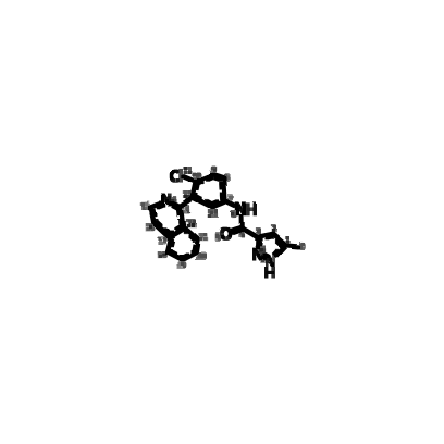 Cc1cc(C(=O)Nc2ccc(Cl)c(-c3nccc4ccccc34)c2)n[nH]1